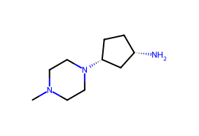 CN1CCN([C@@H]2CC[C@H](N)C2)CC1